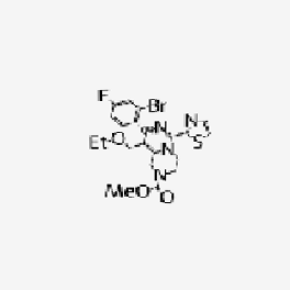 CCOCC1=C2CN(C(=O)OC)CCN2C(c2nccs2)=N[C@H]1c1ccc(F)cc1Br